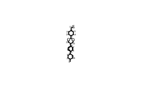 CC1CCC(c2ccc(C3COC(C4CCC(CF)CC4)OC3)cc2)CC1